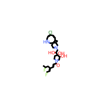 C=C1/C=C\C(Cl)=C/CNCC12CCN(CC(O)C1(O)CCN(C(=O)/C=C/C(=C/CF)CC(C)F)C[C@@H]1O)CC2